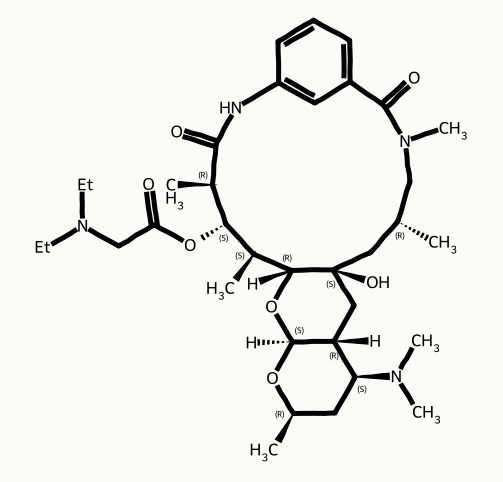 CCN(CC)CC(=O)O[C@H]1[C@H](C)[C@H]2O[C@@H]3O[C@H](C)C[C@H](N(C)C)[C@H]3C[C@@]2(O)C[C@@H](C)CN(C)C(=O)c2cccc(c2)NC(=O)[C@@H]1C